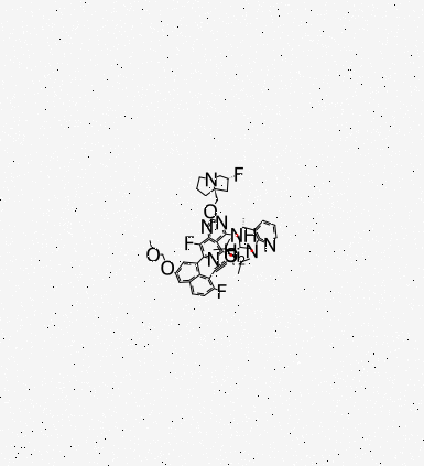 COCOc1cc(-c2nc(OC)c3c(N[C@H](C)c4cccnc4N)nc(OC[C@@]45CCCN4C[C@H](F)C5)nc3c2F)c2c(C#C[Si](C(C)C)(C(C)C)C(C)C)c(F)ccc2c1